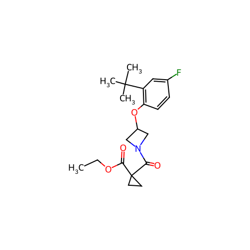 CCOC(=O)C1(C(=O)N2CC(Oc3ccc(F)cc3C(C)(C)C)C2)CC1